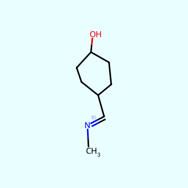 C/N=C/C1CCC(O)CC1